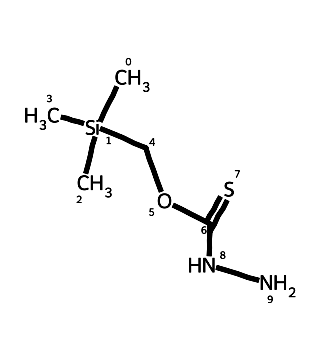 C[Si](C)(C)COC(=S)NN